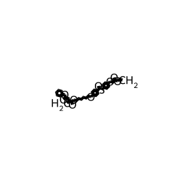 C=COC(=O)COc1ccc(SC(=O)c2ccc(OCCCCCCOC(=O)C(=C)CC(=O)OC3CCCCC3)cc2)cc1